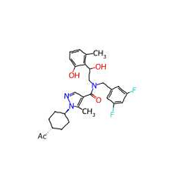 Cc1cccc(O)c1C(O)CN(Cc1cc(F)cc(F)c1)C(=O)c1cnn([C@H]2CC[C@H](C(C)=O)CC2)c1C